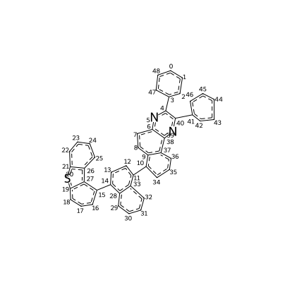 c1ccc(-c2nc3ccc4c(-c5ccc(-c6cccc7sc8ccccc8c67)c6ccccc56)cccc4c3nc2-c2ccccc2)cc1